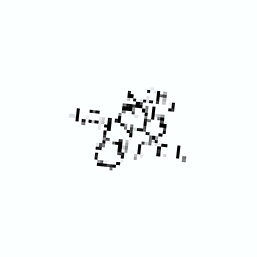 CN1c2ccccc2N2C3=C(C=CC3(C)C)C3(C)CC3(C)C12